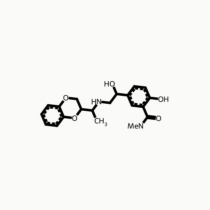 CNC(=O)c1cc(C(O)CNC(C)C2COc3ccccc3O2)ccc1O